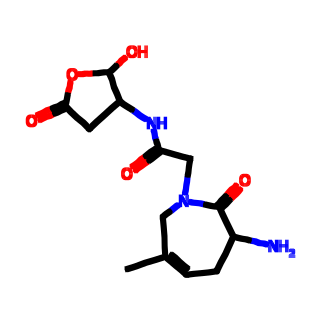 CC1=CCC(N)C(=O)N(CC(=O)NC2CC(=O)OC2O)C1